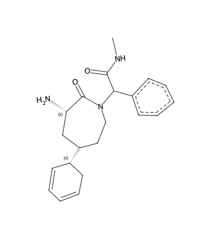 CNC(=O)C(c1ccccc1)N1CCC([C@H]2C=CC=CC2)C[C@H](N)C1=O